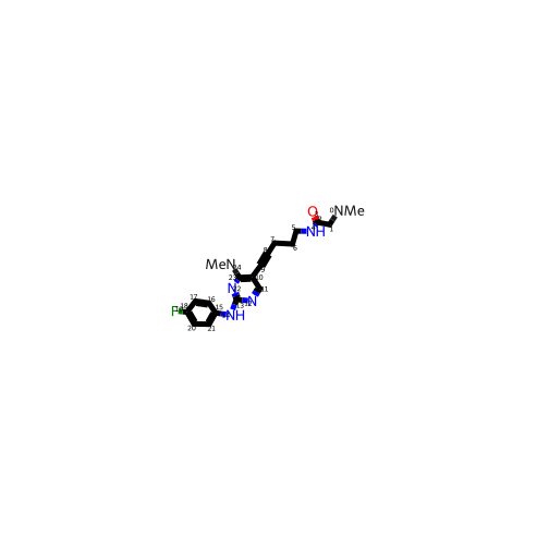 CNCC(=O)NCCCC#Cc1cnc(Nc2ccc(F)cc2)nc1NC